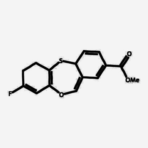 COC(=O)C1=CC2=COC3=C(CCC(F)=C3)SC2C=C1